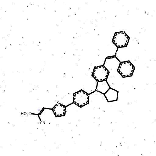 N#C/C(=C\c1ccc(-c2ccc(N3c4ccc(C=C(c5ccccc5)c5ccccc5)cc4C4CCCC43)cc2)s1)C(=O)O